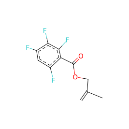 C=C(C)COC(=O)c1c(F)cc(F)c(F)c1F